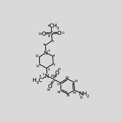 CN(C1CCN(CCS(C)(=O)=O)CC1)S(=O)(=O)c1ccc(N)cc1